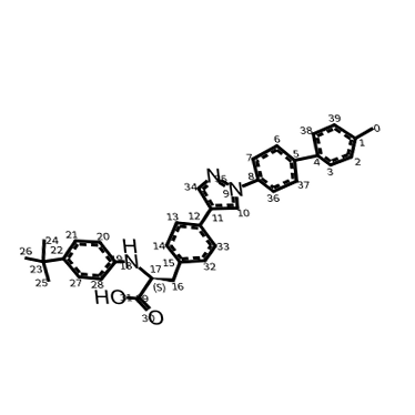 Cc1ccc(-c2ccc(-n3cc(-c4ccc(C[C@H](Nc5ccc(C(C)(C)C)cc5)C(=O)O)cc4)cn3)cc2)cc1